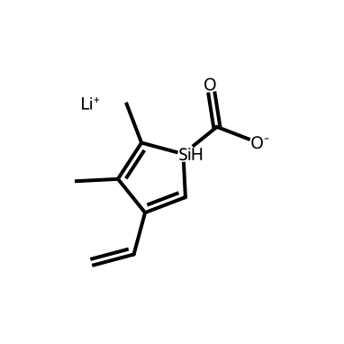 C=CC1=C[SiH](C(=O)[O-])C(C)=C1C.[Li+]